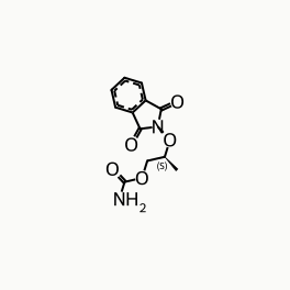 C[C@@H](COC(N)=O)ON1C(=O)c2ccccc2C1=O